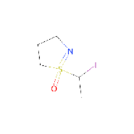 CC(I)S1(=O)=NCCC1